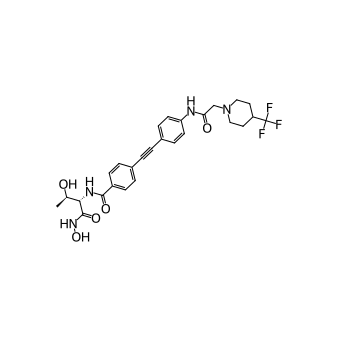 C[C@@H](O)[C@H](NC(=O)c1ccc(C#Cc2ccc(NC(=O)CN3CCC(C(F)(F)F)CC3)cc2)cc1)C(=O)NO